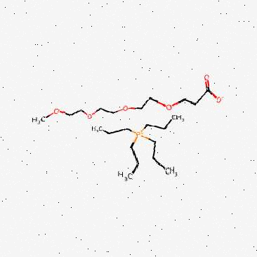 CCC[P+](CCC)(CCC)CCC.COCCOCCOCCOCCC(=O)[O-]